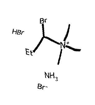 Br.CCC(Br)[N+](C)(C)C.N.[Br-]